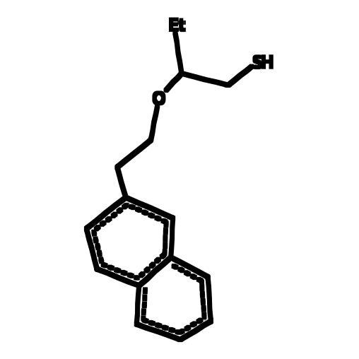 CCC(CS)OCCc1ccc2ccccc2c1